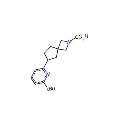 CC(C)(C)c1cccc(C2CCC3(C2)CN(C(=O)O)C3)n1